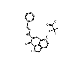 C[n+]1ccc2c[nH]c3c2c1C=C(NC=Cc1ccccc1)C3=O.O=C([O-])C(F)(F)F